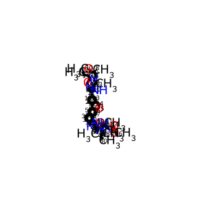 CCCC(=O)N(C[C@H](C)COC)[C@@H](C)c1ncc(-c2ccc3c(c2)COc2cc4c(ccc5nc([C@H](C)N(C(=O)[C@H](C)NC(=O)OC)[C@@H](C)CC)[nH]c54)cc2-3)[nH]1